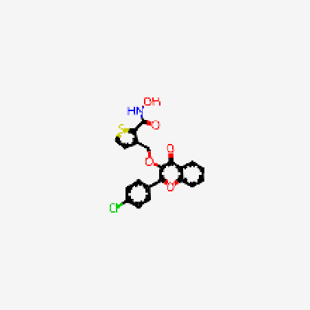 O=C(NO)c1sccc1COc1c(-c2ccc(Cl)cc2)oc2ccccc2c1=O